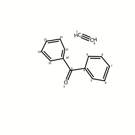 C#C.O=C(c1ccccc1)c1ccccc1